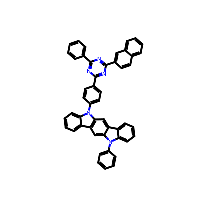 c1ccc(-c2nc(-c3ccc(-n4c5ccccc5c5cc6c(cc54)c4ccccc4n6-c4ccccc4)cc3)nc(-c3ccc4ccccc4c3)n2)cc1